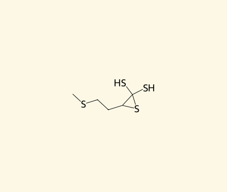 CSCCC1SC1(S)S